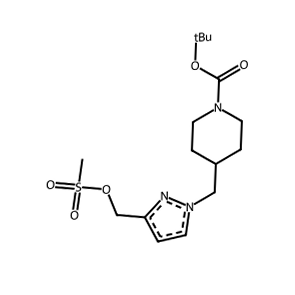 CC(C)(C)OC(=O)N1CCC(Cn2ccc(COS(C)(=O)=O)n2)CC1